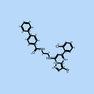 O=C(NCCNc1cc(-c2ccccc2Cl)nc2c(Br)cnn12)c1ccc(-c2ccccc2)cc1